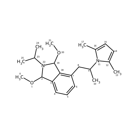 COC1c2cccc(CC(C)n3c(C)ccc3C)c2C(OC)N1C(C)C